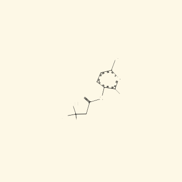 CC(C)(C)CC(=O)Nc1ccc(Br)nc1Cl